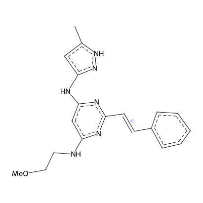 COCCNc1cc(Nc2cc(C)[nH]n2)nc(/C=C/c2ccccc2)n1